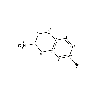 O=[N+]([O-])C1COc2ccc(Br)cc2C1